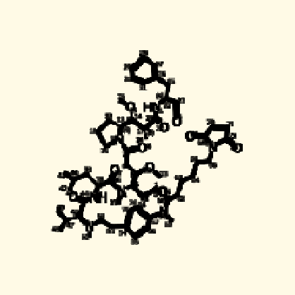 CC[C@H](C)[C@@H]([C@@H](CC(=O)N1CCC[C@H]1[C@H](OC)[C@@H](C)C(=O)N[C@H](C=O)Cc1ccccc1)OC)N(C)C(=O)[C@H](CC(C)C)NC(=O)[C@H](C(C)C)N(C)CCc1ccc(N(C)C(=O)CCCCCN2C(=O)C=CC2=O)cc1